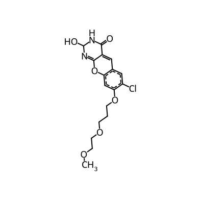 COCCOCCCOc1cc2c(cc1Cl)C=C1C(=O)NC(O)N=C1O2